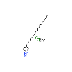 CCCCCCCCCCCCCCCCCCCCc1ccc([N+]#N)cc1.[Cl-].[Cl-].[Zn+]